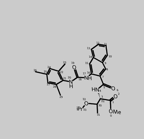 COC(=O)[C@@H](NC(=O)c1cc2ccccc2cc1NC(=O)Nc1c(C)cc(C)cc1C)C(C)OC(C)C